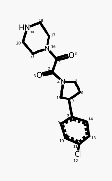 O=C(C(=O)N1CCC(c2ccc(Cl)cc2)C1)N1CCNCC1